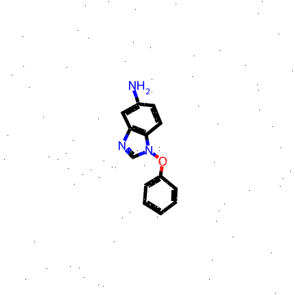 Nc1ccc2c(c1)ncn2Oc1ccccc1